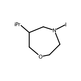 CC(C)C1COCCN(I)C1